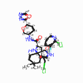 CC1(C)CCC2(CC1)N[C@@H](C(=O)N[C@@H]1CC[C@@H](c3nnco3)OC1)[C@H](c1ccnc(Cl)c1F)[C@]21C(=O)Nc2cc(Cl)ccc21